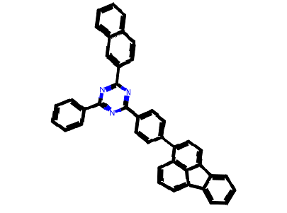 c1ccc(-c2nc(-c3ccc(-c4ccc5c6c(cccc46)-c4ccccc4-5)cc3)nc(-c3ccc4ccccc4c3)n2)cc1